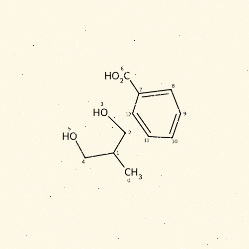 CC(CO)CO.O=C(O)c1ccccc1